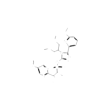 COCC(COC)n1c(NS(=O)(=O)[C@@H](C)[C@H](C)c2ncc(OC)cn2)nnc1-c1cccc(OC)n1